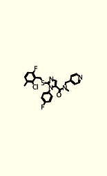 Cc1ccc(F)c(CSc2ncc(C(=O)N(C)Cc3ccncc3)n2-c2ccc(F)cc2)c1Cl